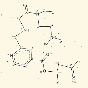 C=C(CNCc1cc(C(=O)OC(C)CC(C)=O)ccn1)N(CC)CCN(C)C